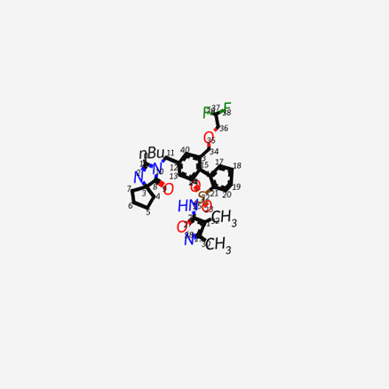 CCCCC1=NC2(CCCC2)C(=O)N1Cc1ccc(-c2ccccc2S(=O)(=O)Nc2onc(C)c2C)c(COCC(F)F)c1